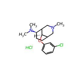 CN1CC2CC[C@@H](N(C)C)C(C1)[C@@H]2Oc1cccc(Cl)c1.Cl